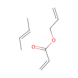 C=CCOC(=O)C=C.CC=CC